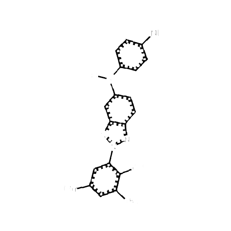 CC(C)(C)c1cc(-n2nc3ccc([S+]([O-])c4ccc(N)cc4)cc3n2)c(O)c(C(C)(C)C)c1